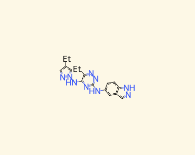 CCc1cnn(Nc2nc(Nc3ccc4[nH]ncc4c3)nnc2CC)c1